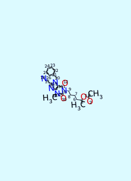 CC(=O)OC(C)CCCCn1c(=O)c2c(nc(C#N)n2Cc2ccccc2)n(C)c1=O